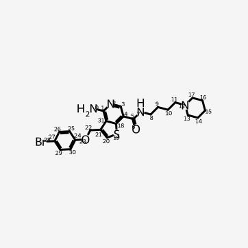 Nc1ncc(C(=O)NCCCCN2CCCCC2)c2scc(COc3ccc(Br)cc3)c12